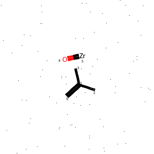 C=C(C)C.[O]=[Zr]